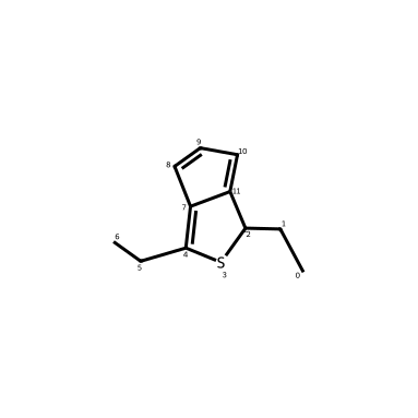 CC[C]1SC(CC)=C2C=CC=C12